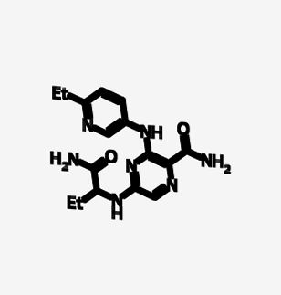 CCc1ccc(Nc2nc(NC(CC)C(N)=O)cnc2C(N)=O)cn1